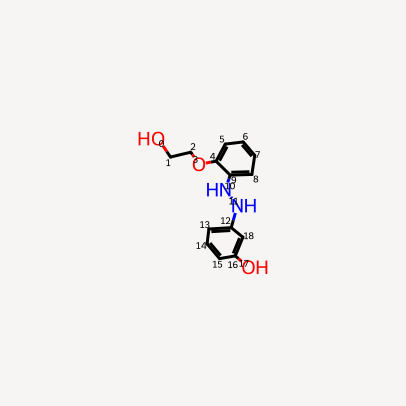 OCCOc1ccccc1NNc1cccc(O)c1